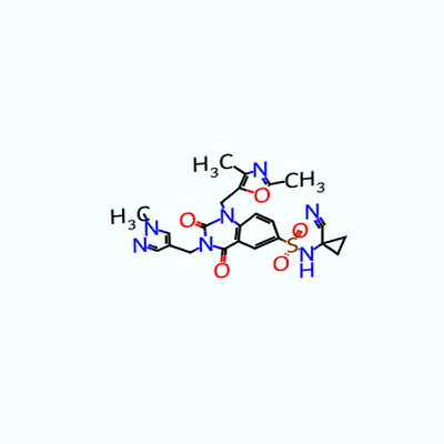 Cc1nc(C)c(Cn2c(=O)n(Cc3cnn(C)c3)c(=O)c3cc(S(=O)(=O)NC4(C#N)CC4)ccc32)o1